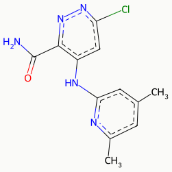 Cc1cc(C)nc(Nc2cc(Cl)nnc2C(N)=O)c1